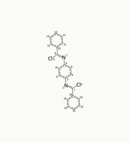 Cl/C(=N\c1ccc(/N=C(\Cl)c2ccccc2)cc1)c1ccccc1